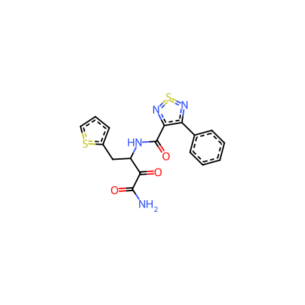 NC(=O)C(=O)C(Cc1cccs1)NC(=O)c1nsnc1-c1ccccc1